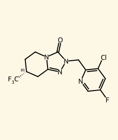 O=c1n(Cc2ncc(F)cc2Cl)nc2n1CC[C@@H](C(F)(F)F)C2